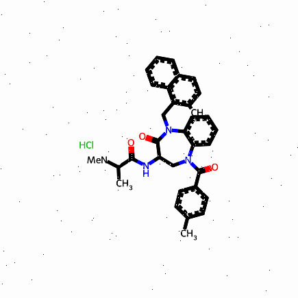 CNC(C)C(=O)NC1CN(C(=O)c2ccc(C)cc2)c2ccccc2N(Cc2c(C)ccc3ccccc23)C1=O.Cl